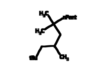 CCCCCC(C)(C)C[C](C)CC(C)(C)C